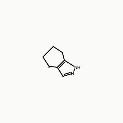 [C]1CCCc2[nH]ncc21